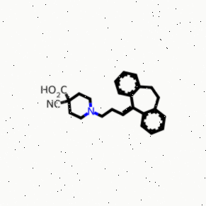 N#CC1(C(=O)O)CCN(CCC=C2c3ccccc3CCc3ccccc32)CC1